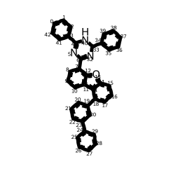 c1ccc(C2=NC(c3cccc4c3oc3cccc(-c5cccc(-c6ccccc6)c5)c34)=NC(c3ccccc3)N2)cc1